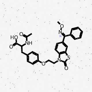 CO/N=C(\c1ccccc1)c1ccc2c(c1)sc(=O)n2CCOc1ccc(CC(NC(C)=O)C(=O)O)cc1